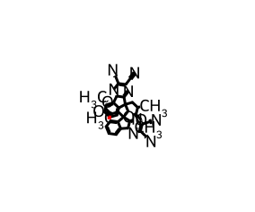 COC(=O)C(C)CC1(CC2(CC(C)C(=O)OC)c3ccccc3-c3nc(C#N)c(C#N)nc32)c2ccccc2-c2nc(C#N)c(C#N)nc21